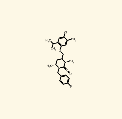 Cc1cc(OCN2C[C@@H](C)N(Cc3ccc(F)cc3)C(=C=O)[C@@H]2C)c(C(C)C)cc1Cl